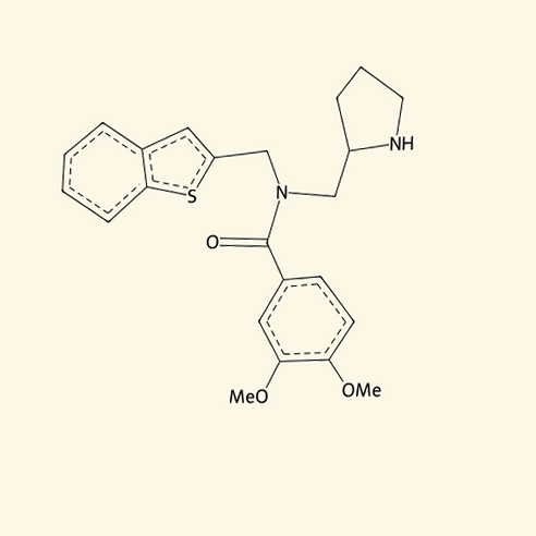 COc1ccc(C(=O)N(Cc2cc3ccccc3s2)CC2CCCN2)cc1OC